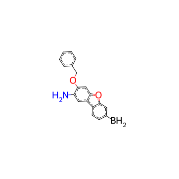 Bc1ccc2c(c1)oc1cc(OCc3ccccc3)c(N)cc12